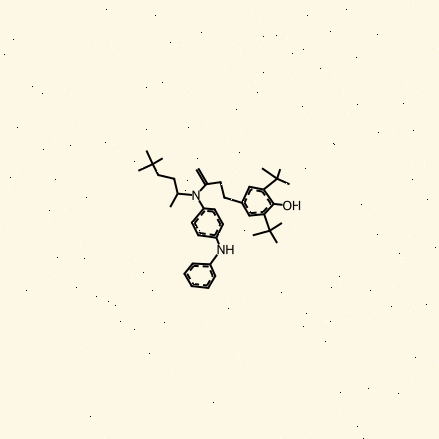 C=C(CCc1cc(C(C)(C)C)c(O)c(C(C)(C)C)c1)N(c1ccc(Nc2ccccc2)cc1)C(C)CCC(C)(C)C